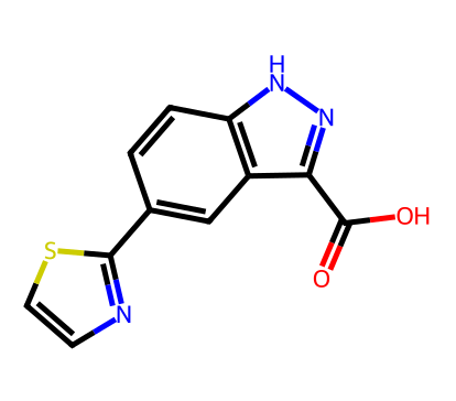 O=C(O)c1n[nH]c2ccc(-c3nccs3)cc12